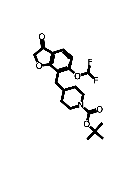 CC(C)(C)OC(=O)N1CCC(Cc2c(OC(F)F)ccc3c2OCC3=O)CC1